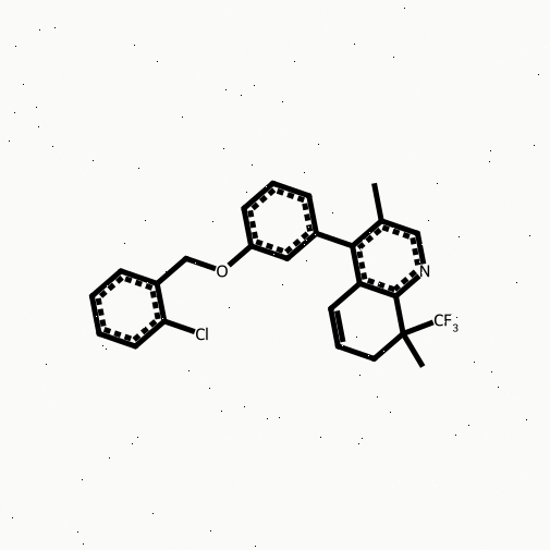 Cc1cnc2c(c1-c1cccc(OCc3ccccc3Cl)c1)C=CCC2(C)C(F)(F)F